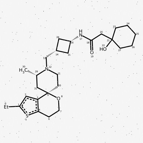 CCc1cc2c(s1)CCO[C@@]21CCN(C[C@H]2C[C@@H](NC(=O)CC3(O)CCCCC3)C2)[C@@H](C)C1